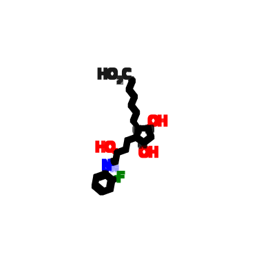 O=C(O)CCCCCC[C@@H]1C(CCC(O)/C=N/c2ccccc2F)[C@H](O)C[C@@H]1O